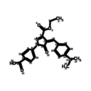 CCOC(=O)C1=NN(c2ccc(C(=O)O)cc2)C(=O)C1=Cc1ccc(N(C)C)cc1